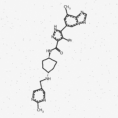 Cc1ncc(CN[C@H]2CC[C@H](NC(=O)c3n[nH]c(-c4cc(C)c5ncnn5c4)c3C(C)C)CC2)cn1